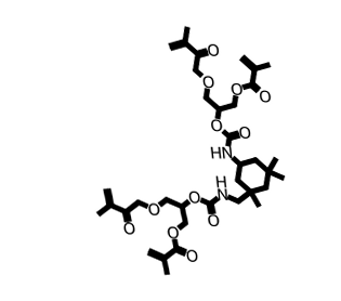 C=C(C)C(=O)COCC(COC(=O)C(=C)C)OC(=O)NCC1(C)CC(NC(=O)OC(COCC(=O)C(=C)C)COC(=O)C(=C)C)CC(C)(C)C1